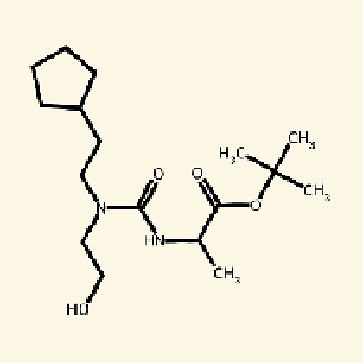 CC(NC(=O)N(CCO)CCC1CCCC1)C(=O)OC(C)(C)C